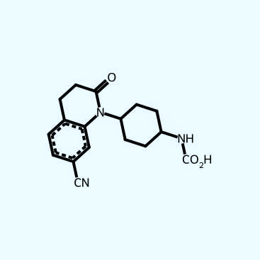 N#Cc1ccc2c(c1)N(C1CCC(NC(=O)O)CC1)C(=O)CC2